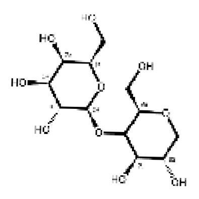 OC[C@H]1OC[C@H](O)[C@@H](O)C1O[C@@H]1O[C@H](CO)[C@H](O)[C@H](O)[C@H]1O